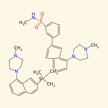 CN1CCN(c2cccc3cc[c]([Sn]([CH3])([CH3])[CH3])cc23)CC1.CNS(=O)(=O)c1cccc(-c2ccc3cccc(N4CCN(C)CC4)c3c2)c1